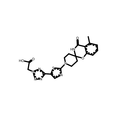 Cc1cccc2c1C(=O)NC1(CCN(c3ncc(-c4nnn(CC(=O)O)n4)s3)CC1)O2